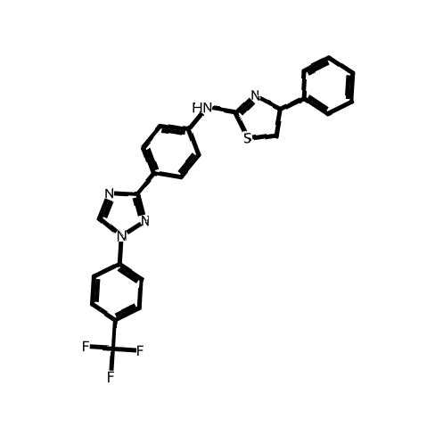 FC(F)(F)c1ccc(-n2cnc(-c3ccc(NC4=NC(c5ccccc5)CS4)cc3)n2)cc1